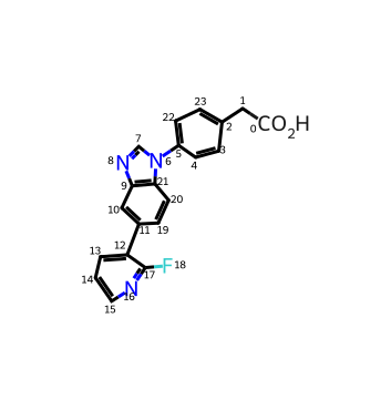 O=C(O)Cc1ccc(-n2cnc3cc(-c4cccnc4F)ccc32)cc1